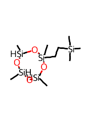 C[SiH]1O[SiH](C)O[Si](C)(CC[Si](C)(C)C)O[SiH](C)O1